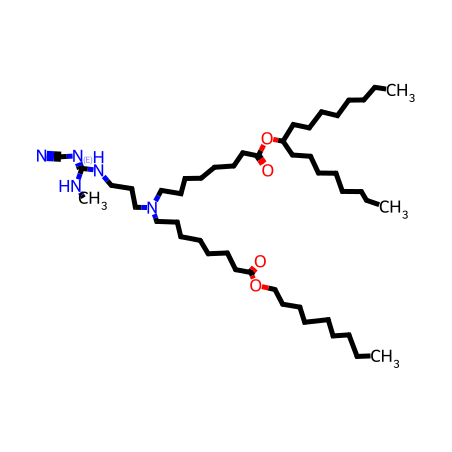 CCCCCCCCCOC(=O)CCCCCCCN(CCCCCCCC(=O)OC(CCCCCCCC)CCCCCCCC)CCCN/C(=N/C#N)NC